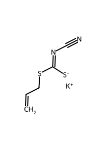 C=CCSC([S-])=NC#N.[K+]